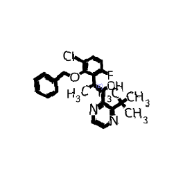 C/C(=C(/O)c1nccnc1C(C)(C)C)c1c(F)ccc(Cl)c1OCc1ccccc1